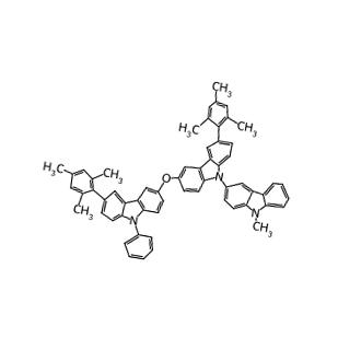 Cc1cc(C)c(-c2ccc3c(c2)c2cc(Oc4ccc5c(c4)c4cc(-c6c(C)cc(C)cc6C)ccc4n5-c4ccc5c(c4)c4ccccc4n5C)ccc2n3-c2ccccc2)c(C)c1